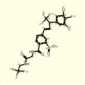 O=C(CNC(=O)c1ccc(C=CC(c2cc(Cl)c(F)c(Cl)c2)C(F)(F)F)cc1[N+](=O)[O-])NCC(F)(F)F